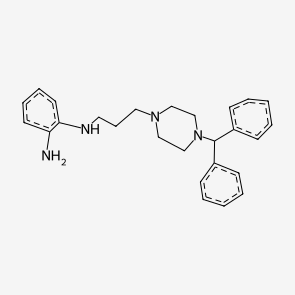 Nc1ccccc1NCCCN1CCN(C(c2ccccc2)c2ccccc2)CC1